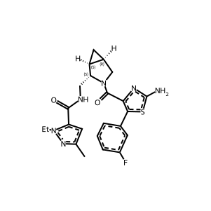 CCn1nc(C)cc1C(=O)NC[C@@H]1[C@H]2C[C@H]2CN1C(=O)c1nc(N)sc1-c1cccc(F)c1